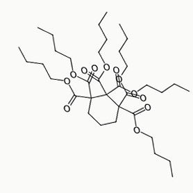 CCCCOC(=O)C1(C(=O)OCCCC)CCCC(C(=O)OCCCC)(C(=O)OCCCC)C1(C(=O)OCCCC)C(=O)OCCCC